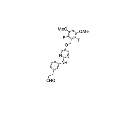 COc1cc(OC)c(F)c(COc2cnc(Nc3cccc(CCC=O)c3)nc2)c1F